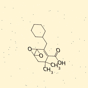 CC1(C)CC23OC2(O3)C(CC2CCCCC2)=C1C(=O)O